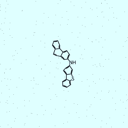 c1ccc2c(c1)ccc1cc(Nc3ccc4c(c3)sc3ccccc34)ccc12